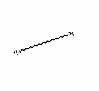 CCCCCCCCCCCCCCCC[CH]CCCCCCN